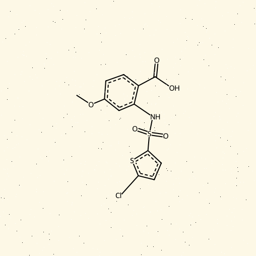 COc1ccc(C(=O)O)c(NS(=O)(=O)c2ccc(Cl)s2)c1